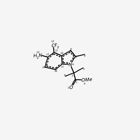 COC(=O)C(C)(C)n1c(C)cc2c(C(F)(F)F)c(N)ccc21